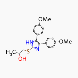 COc1ccc(-c2nc(SCC(C)O)[nH]c2-c2ccc(OC)cc2)cc1